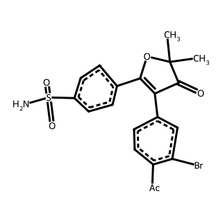 CC(=O)c1ccc(C2=C(c3ccc(S(N)(=O)=O)cc3)OC(C)(C)C2=O)cc1Br